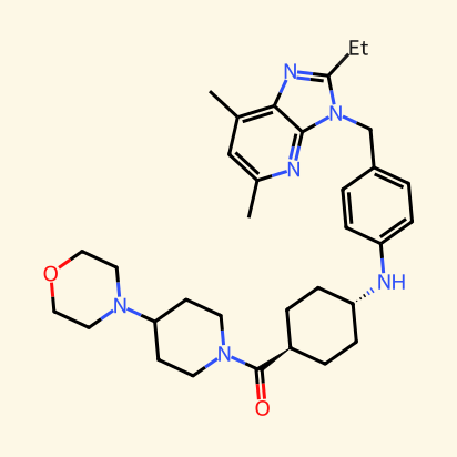 CCc1nc2c(C)cc(C)nc2n1Cc1ccc(N[C@H]2CC[C@H](C(=O)N3CCC(N4CCOCC4)CC3)CC2)cc1